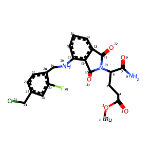 CC(C)(C)OC(=O)CCC(C(N)=O)N1C(=O)c2cccc(NCc3ccc(CCl)cc3F)c2C1=O